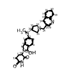 CN(c1ccc2c(c1)CN(C1CCC(=O)NC1=O)C2O)[C@@H]1CCN(Cc2cnc3ccccc3c2)C1